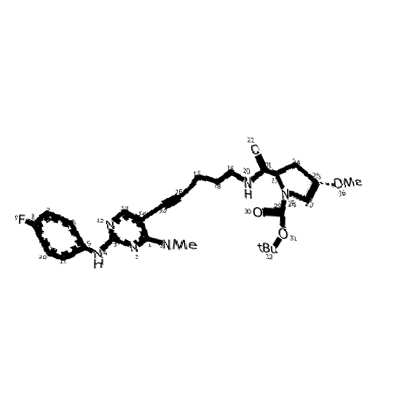 CNc1nc(Nc2ccc(F)cc2)ncc1C#CCCCNC(=O)C1C[C@H](OC)CN1C(=O)OC(C)(C)C